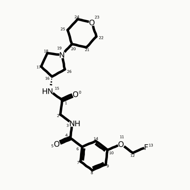 O=C(CNC(=O)c1cccc(OCF)c1)N[C@@H]1CCN(C2CCOCC2)C1